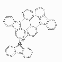 N#Cc1ccc(-n2c3ccccc3c3ccccc32)c(-c2cccnc2-n2c3ccccc3c3cc(-n4c5ccccc5c5ccccc54)ccc32)c1